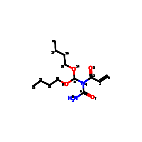 C=CC(=O)N(C(N)=O)C(OCCCC)OCCCC